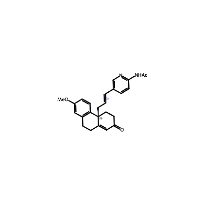 COc1ccc2c(c1)CCC1=CC(=O)CC[C@]12C/C=C/c1ccc(NC(C)=O)nc1